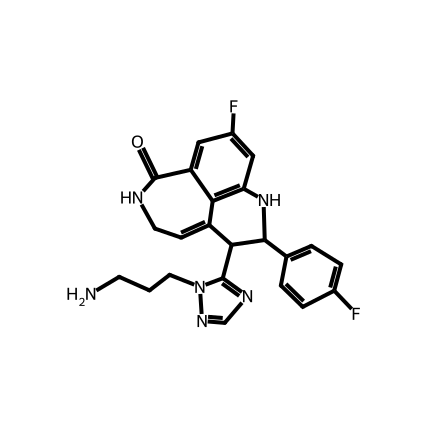 NCCCn1ncnc1C1C2=CCNC(=O)c3cc(F)cc(c32)NC1c1ccc(F)cc1